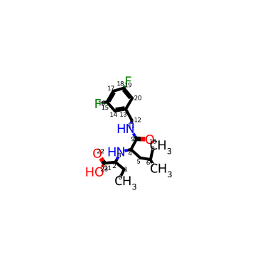 CCC(NC(CC(C)C)C(=O)NCc1cc(F)cc(F)c1)C(=O)O